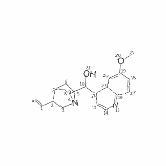 C=CC1CN2CCC1CC2C(O)C1C=CN=C2C=CC(OC)=CC21